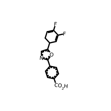 O=C(O)c1ccc(-c2ncc(C3C=C(F)C(F)=CC3)o2)cc1